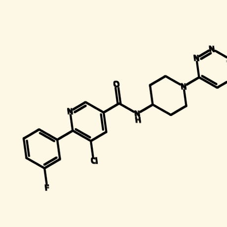 O=C(NC1CCN(c2cccnn2)CC1)c1cnc(-c2cccc(F)c2)c(Cl)c1